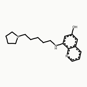 Oc1cc(NCCCCCN2CCCC2)c2ncccc2c1